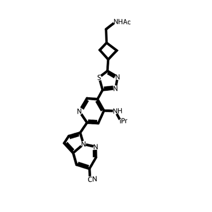 CC(=O)NCC1CC(c2nnc(-c3cnc(-c4ccc5cc(C#N)cnn45)cc3NC(C)C)s2)C1